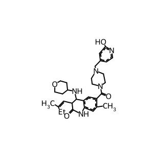 CC/C(C)=C\C1C(=O)Nc2cc(C)c(C(=O)N3CCN(Cc4ccnc(O)c4)CC3)cc2C1NC1CCOCC1